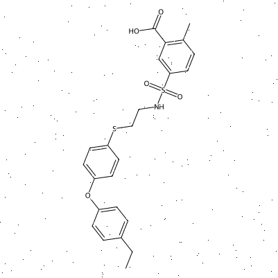 CCc1ccc(Oc2ccc(SCCNS(=O)(=O)c3ccc(C)c(C(=O)O)c3)cc2)cc1